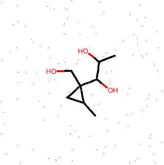 CC(O)C(O)C1(CO)CC1C